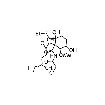 CCSCC1(O)CCC(O)C(OC)C1(C(=O)NC(=O)CCl)C1(C)OC1CC=C(C)C